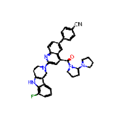 N#Cc1ccc(-c2ccc3nc(N4CCc5[nH]c6c(F)cccc6c5C4)cc(C(=O)N4CCCC4N4CCCC4)c3c2)cc1